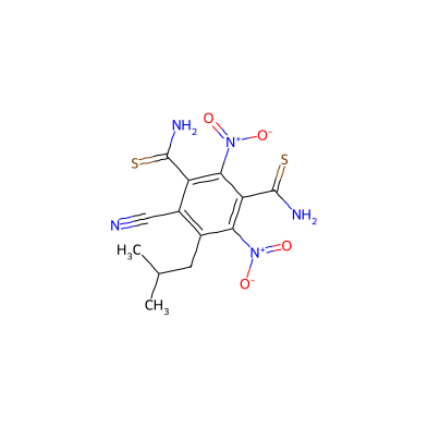 CC(C)Cc1c(C#N)c(C(N)=S)c([N+](=O)[O-])c(C(N)=S)c1[N+](=O)[O-]